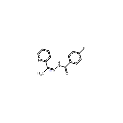 C/C(=N/NC(=O)c1ccc(F)cc1)c1ccccn1